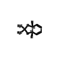 CC1(C)O[C@H]2C=CC=C[C@H]2O1